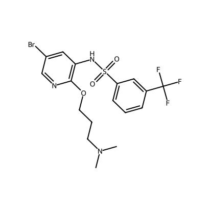 CN(C)CCCOc1ncc(Br)cc1NS(=O)(=O)c1cccc(C(F)(F)F)c1